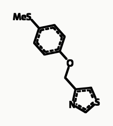 CSc1ccc(OCc2cscn2)cc1